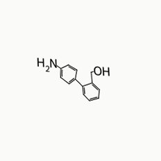 Nc1ccc(-c2ccccc2CO)cc1